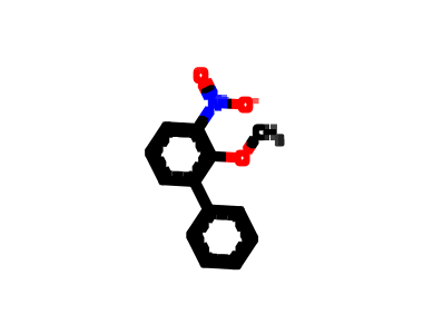 COc1c(-c2ccccc2)cccc1[N+](=O)[O-]